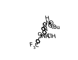 CC(C)(C)OC(=O)NC1CCN(c2ccc3cc(NC(=O)CCc4ccc(C(F)(F)F)cc4)ccc3n2)C1.Cl